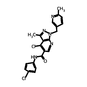 Cc1ccc(Cn2nc(C)c3c(Cl)c(C(=O)Nc4ccc(Cl)cc4)cnc32)cn1